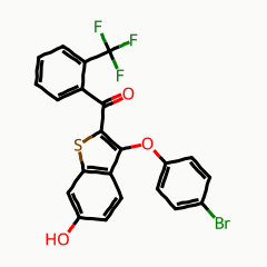 O=C(c1ccccc1C(F)(F)F)c1sc2cc(O)ccc2c1Oc1ccc(Br)cc1